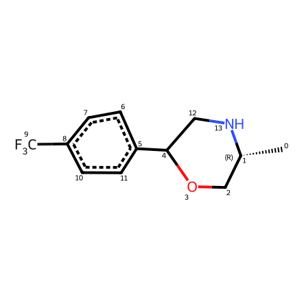 C[C@@H]1COC(c2ccc(C(F)(F)F)cc2)CN1